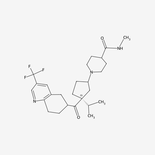 CNC(=O)C1CCN(C2CC[C@@](C(=O)C3CCc4ncc(C(F)(F)F)cc4C3)(C(C)C)C2)CC1